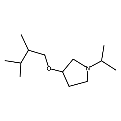 CC(C)C(C)COC1CCN(C(C)C)C1